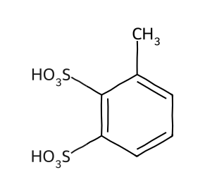 Cc1cccc(S(=O)(=O)O)c1S(=O)(=O)O